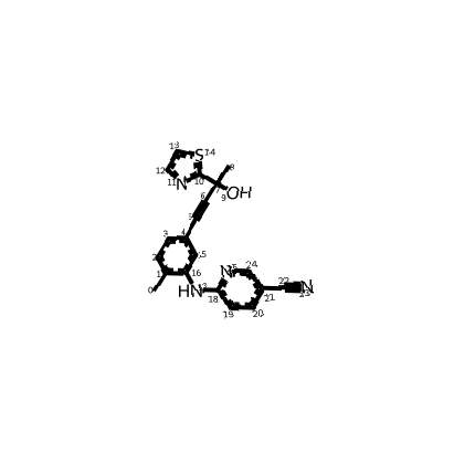 Cc1ccc(C#CC(C)(O)c2nccs2)cc1Nc1ccc(C#N)cn1